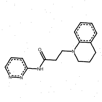 O=C(CCN1CCCc2ccccc21)Nc1cccnn1